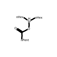 CCCCC[CH2][SnH]([CH2]CCCCC)[O]C(=O)CCCCC